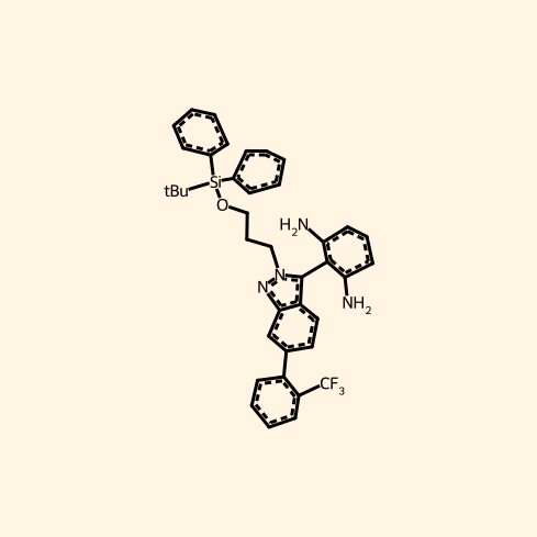 CC(C)(C)[Si](OCCCn1nc2cc(-c3ccccc3C(F)(F)F)ccc2c1-c1c(N)cccc1N)(c1ccccc1)c1ccccc1